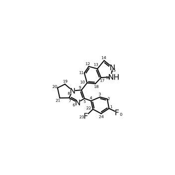 Fc1ccc(-c2nc3n(c2-c2ccc4cn[nH]c4c2)CCC3)c(F)c1